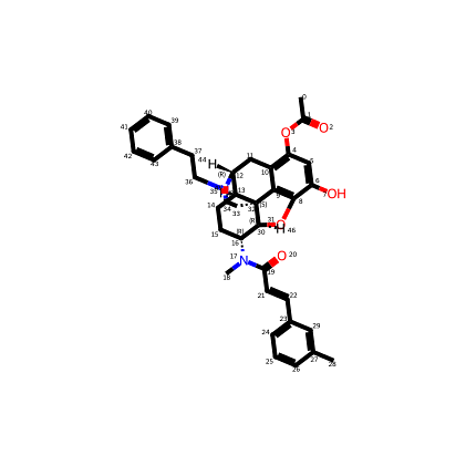 CC(=O)Oc1cc(O)c2c3c1C[C@@H]1[C@@H]4CC[C@@H](N(C)C(=O)C=Cc5cccc(C)c5)[C@H](O2)[C@]34CCN1CCc1ccccc1